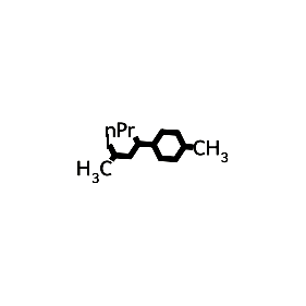 CCCC(CC(C)I)C1CCC(C)CC1